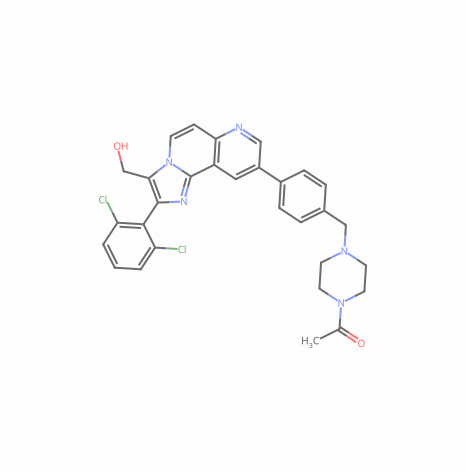 CC(=O)N1CCN(Cc2ccc(-c3cnc4ccn5c(CO)c(-c6c(Cl)cccc6Cl)nc5c4c3)cc2)CC1